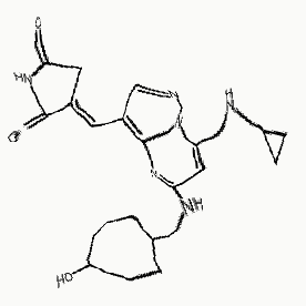 O=C1C/C(=C\c2cnn3c(NC4CC4)cc(NC4CCC(O)CC4)nc23)C(=O)N1